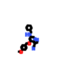 COc1ccc(COc2cc(NCC3CCCCC3)cn3ncc(C#N)c23)cc1